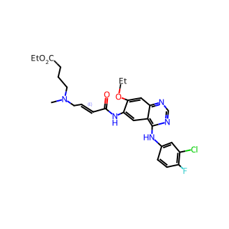 CCOC(=O)CCCN(C)C/C=C/C(=O)Nc1cc2c(Nc3ccc(F)c(Cl)c3)ncnc2cc1OCC